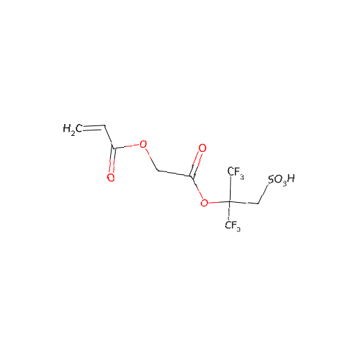 C=CC(=O)OCC(=O)OC(CS(=O)(=O)O)(C(F)(F)F)C(F)(F)F